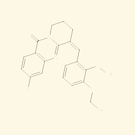 CCOc1cccc(/C=C2/CCCn3c2nc2cc(N)ccc2c3=O)c1OC